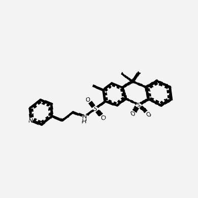 Cc1cc2c(cc1S(=O)(=O)NCCc1cccnc1)S(=O)(=O)c1ccccc1C2(C)C